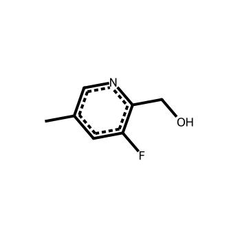 Cc1cnc(CO)c(F)c1